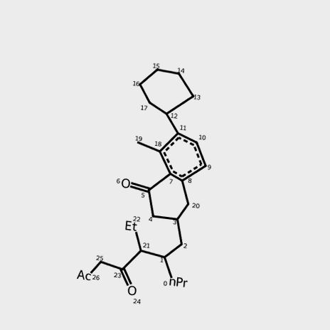 CCCC(CC1CC(=O)c2c(ccc(C3CCCCC3)c2C)C1)C(CC)C(=O)CC(C)=O